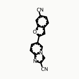 N#Cc1ccc2cc(-c3ccc4nc(C#N)cn4c3)oc2c1